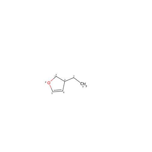 CCC1[C]OC=C1